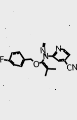 C=NN(C(OCc1ccc(F)cc1)=C(C)C)c1cc(C#N)ccn1